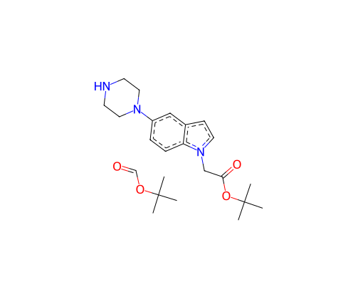 CC(C)(C)OC(=O)Cn1ccc2cc(N3CCNCC3)ccc21.CC(C)(C)OC=O